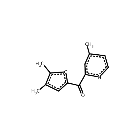 Cc1ccnc(C(=O)c2cc(C)c(C)o2)c1